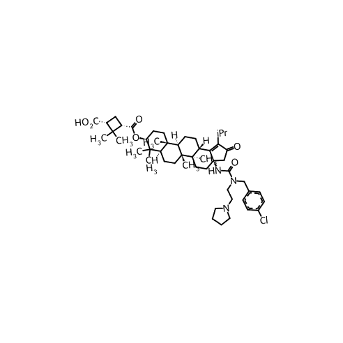 CC(C)C1=C2[C@H]3CC[C@@H]4[C@@]5(C)CC[C@H](OC(=O)[C@H]6C[C@@H](C(=O)O)C6(C)C)C(C)(C)[C@@H]5CC[C@@]4(C)[C@]3(C)CC[C@@]2(NC(=O)N(CCN2CCCC2)Cc2ccc(Cl)cc2)CC1=O